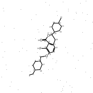 CCC1CCC(COc2ccc3c(c2F)C(=O)OC(C2CCC(C)CC2)C3)CC1